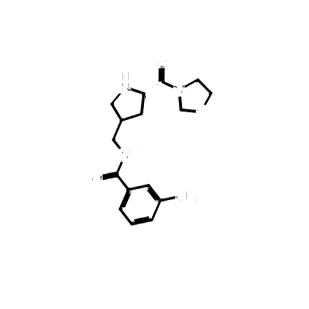 O=C(NCC1CN[C@H](C(=O)N2CCSC2)C1)c1cccc(C(F)(F)F)c1